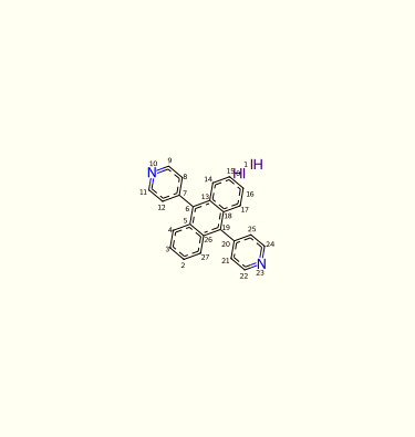 I.I.c1ccc2c(-c3ccncc3)c3ccccc3c(-c3ccncc3)c2c1